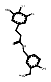 COCc1cc(CNC(=O)CCc2cc(C(C)(C)C)c(O)c(C(C)(C)C)c2)ccc1O